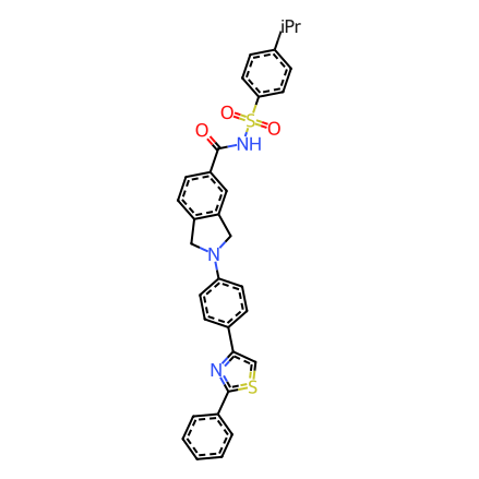 CC(C)c1ccc(S(=O)(=O)NC(=O)c2ccc3c(c2)CN(c2ccc(-c4csc(-c5ccccc5)n4)cc2)C3)cc1